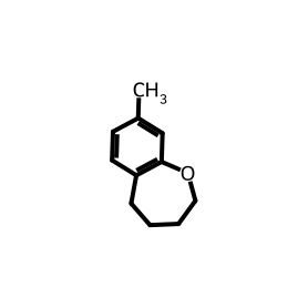 Cc1ccc2c(c1)OCCCC2